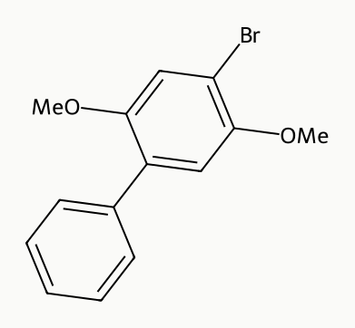 COc1cc(-c2ccccc2)c(OC)cc1Br